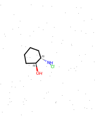 O[C@H]1CCCC[C@@H]1NCl